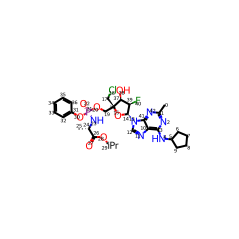 Cc1nc(NC2CCCC2)c2ncn([C@@H]3O[C@](CCl)(COP(=O)(N[C@@H](C)C(=O)OC(C)C)Oc4ccccc4)[C@@H](O)[C@H]3F)c2n1